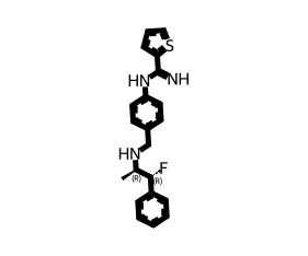 C[C@@H](NCc1ccc(NC(=N)c2cccs2)cc1)[C@H](F)c1ccccc1